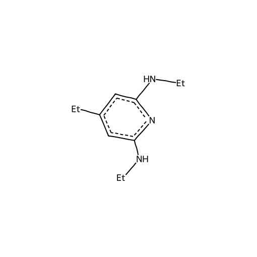 CCNc1cc(CC)cc(NCC)n1